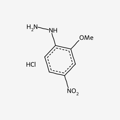 COc1cc([N+](=O)[O-])ccc1NN.Cl